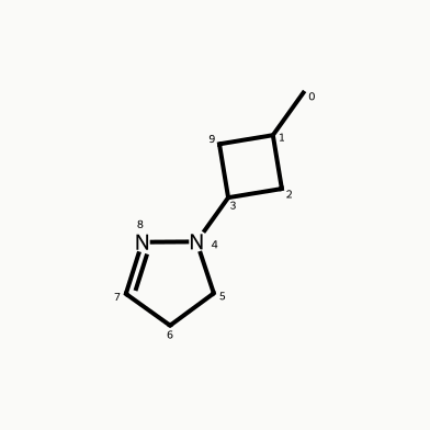 CC1CC(N2CCC=N2)C1